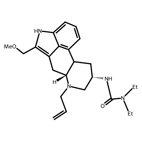 C=CCN1C[C@@H](NC(=O)N(CC)CC)CC2c3cccc4[nH]c(COC)c(c34)C[C@H]21